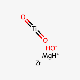 [MgH+].[OH-].[O]=[Ti]=[O].[Zr]